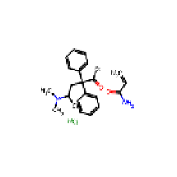 C=CC(N)=O.CCC(=O)C(CC(C)N(C)C)(c1ccccc1)c1ccccc1.Cl